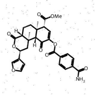 COC(=O)[C@@H]1C=C(OC(=O)c2ccc(C(N)=O)cc2)C(=O)[C@H]2[C@@]1(C)CC[C@H]1C(=O)O[C@H](c3ccoc3)C[C@]21C